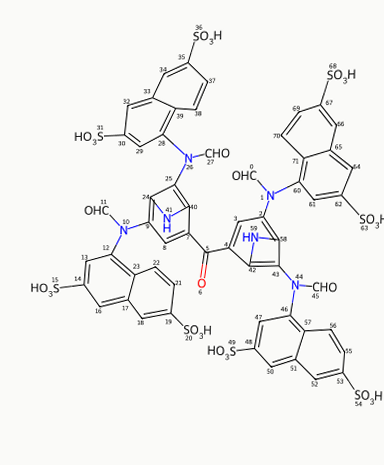 O=CN(c1cc(C(=O)c2cc(N(C=O)c3cc(S(=O)(=O)O)cc4cc(S(=O)(=O)O)ccc34)c3c(N(C=O)c4cc(S(=O)(=O)O)cc5cc(S(=O)(=O)O)ccc45)c2N3)c2c(N(C=O)c3cc(S(=O)(=O)O)cc4cc(S(=O)(=O)O)ccc34)c1N2)c1cc(S(=O)(=O)O)cc2cc(S(=O)(=O)O)ccc12